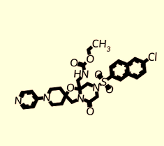 CCOC(=O)NCC12CN(S(=O)(=O)c3ccc4cc(Cl)ccc4c3)CC(=O)N1CC1(CCN(c3ccncc3)CC1)O2